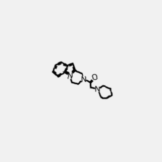 O=C(CN1CCCCC1)N1CCn2c(cc3ccccc32)C1